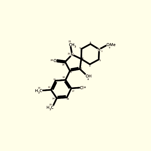 CON1CCC2(CC1)C(O)=C(c1cc(C)c(C)cc1Cl)C(=O)N2C